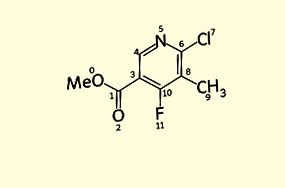 COC(=O)c1cnc(Cl)c(C)c1F